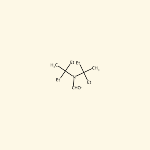 CCC(C)(CC)N([C]=O)C(C)(CC)CC